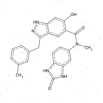 Cc1cccc(Cc2n[nH]c3cc(O)c(C(=O)N(C)c4ccc5[nH]c(=O)[nH]c5c4)cc23)c1